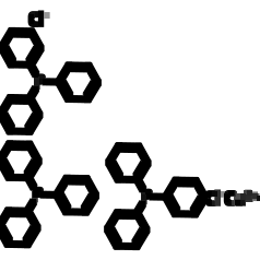 [Cl-].[Cl-].[Cu+2].c1ccc(P(c2ccccc2)c2ccccc2)cc1.c1ccc(P(c2ccccc2)c2ccccc2)cc1.c1ccc(P(c2ccccc2)c2ccccc2)cc1